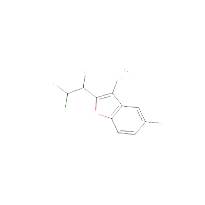 CCc1c(C(F)C(F)F)oc2ccc(F)cc12.N